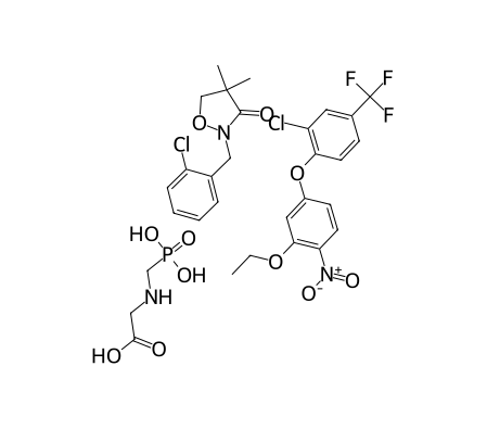 CC1(C)CON(Cc2ccccc2Cl)C1=O.CCOc1cc(Oc2ccc(C(F)(F)F)cc2Cl)ccc1[N+](=O)[O-].O=C(O)CNCP(=O)(O)O